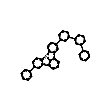 c1ccc(-c2cccc(-c3cccc(-c4ccc5c(c4)c4cccc6c7cc(-c8ccccc8)ccc7n5c64)c3)c2)cc1